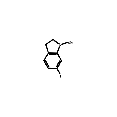 CCC(C)N1CCc2ccc(F)cc21